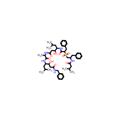 CC(C)CC(=O)NC(Cc1ccccc1)CS(=O)(=O)C(Cc1ccccc1)C(=O)NC(CC(C)C)C(O)CC(=O)NC(C)C(=O)NC(CC(C)C)C(O)CC(=O)NCc1ccccc1